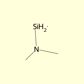 CN(C)[SiH2]